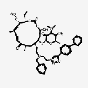 CC[C@H]1OC(=O)C[C@@H](O)[C@H](C)[C@@H](O[C@@H]2O[C@H](C)C(O)C(N(C)C)C2O)[C@@H](CCN(CCn2cc(-c3ccc(-c4ccccc4)cc3)nn2)Cc2ccccc2)C[C@@H](C)C(=O)/C=C/C(C)=C/[C@@H]1CO